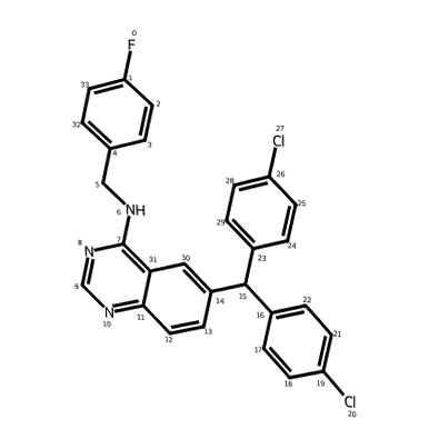 Fc1ccc(CNc2ncnc3ccc(C(c4ccc(Cl)cc4)c4ccc(Cl)cc4)cc23)cc1